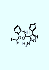 Nc1onc(-c2ccsc2)c1C(=O)Nc1ccccc1OC(F)F